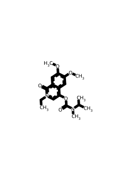 CCn1cc(OC(=O)N(C)C(C)C)c2cc(OC)c(OC)cc2c1=O